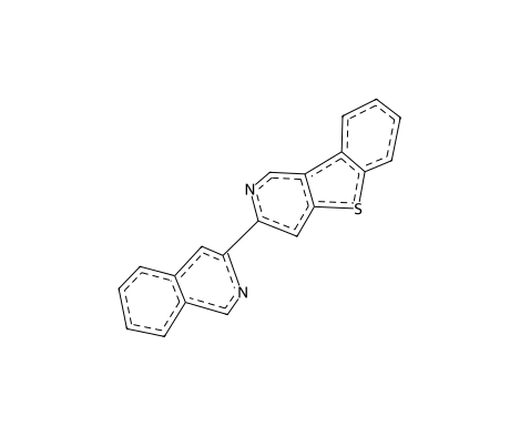 c1ccc2cc(-c3cc4sc5ccccc5c4cn3)ncc2c1